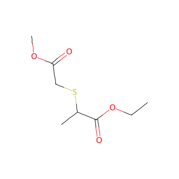 CCOC(=O)C(C)SCC(=O)OC